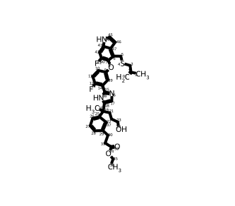 C=C(C)CSCc1c(Oc2ccc(F)c(-c3ncc(C(C)(CCCO)c4cccc(CCC(=O)OCC)c4)[nH]3)c2)c(F)cc2[nH]ccc12